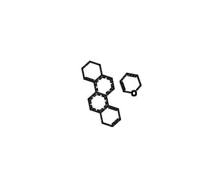 C1=CCOC=C1.C1=CCc2ccc3c4c(ccc3c2=C1)CCCC=4